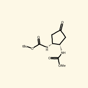 COC(=O)N[C@H]1CC(=O)C[C@H]1NC(=O)OC(C)(C)C